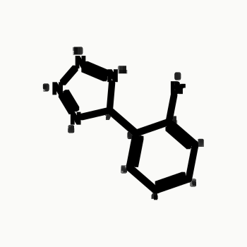 Brc1ccccc1C1N=NN=N1